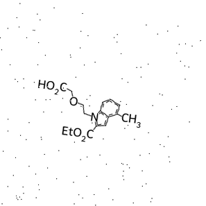 CCOC(=O)c1cc2c(C)cccc2n1CCOCC(=O)O